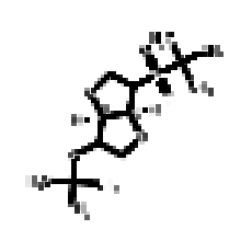 CC(C)(C)OC1CO[C@@H]2C(S(=O)(=O)C(C)(C)C)CO[C@H]12